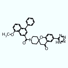 COc1cccc2c(-c3ccccc3)cc(C(=O)N3CCC4(CC3)CC(=O)c3cc(-c5nnn[nH]5)ccc3O4)cc12